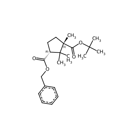 CC(C)(C)OC(=O)[C@@]1(C)CC[C@@H](C(=O)OCc2ccccc2)C1(C)C